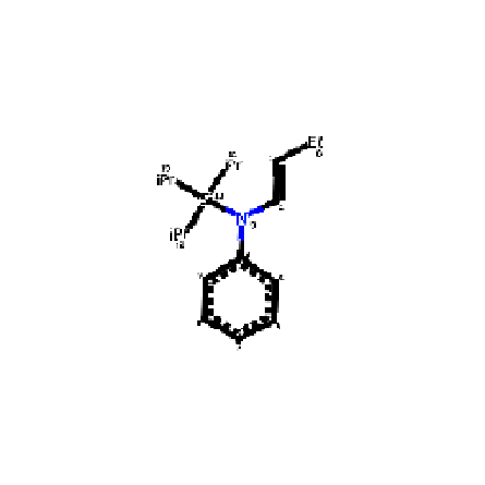 CC/C=C/N(c1ccccc1)[Si](C(C)C)(C(C)C)C(C)C